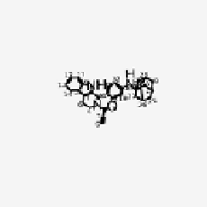 C#CC(=O)N1CCc2c([nH]c3ccccc23)[C@@H]1c1ccc(NC23CC4CC(CC(C4)C2)C3)cc1